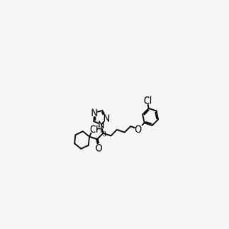 CC1(C(=O)C(CCCCOc2cccc(Cl)c2)n2cncn2)CCCCC1